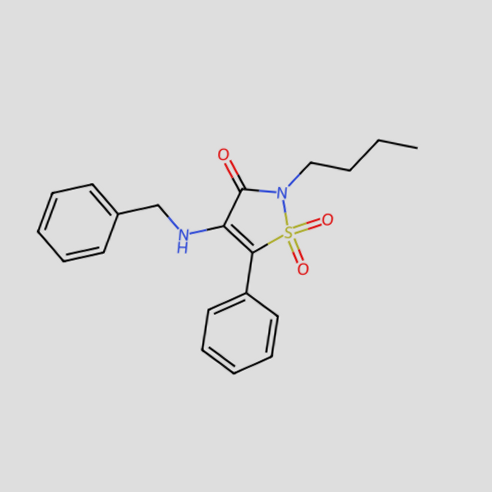 CCCCN1C(=O)C(NCc2ccccc2)=C(c2ccccc2)S1(=O)=O